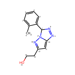 Cc1ccccc1C1N=Nc2cc(CCO)nn21